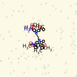 CC(=O)O/N=C(/c1ccc2c(c1)c1cc(C(=O)c3c(C)cc(C)cc3C)c3ccccc3c1n2CCCCCCn1c2ccc(C(=O)c3ccccc3C)cc2c2cc([C@@](C)(N)OC(C)=O)ccc21)c1ccccc1C